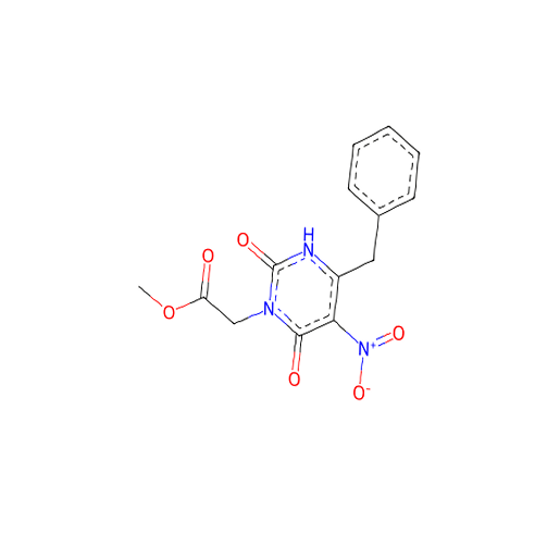 COC(=O)Cn1c(=O)[nH]c(Cc2ccccc2)c([N+](=O)[O-])c1=O